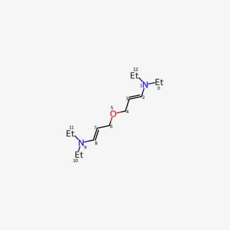 CCN(C=CCOCC=CN(CC)CC)CC